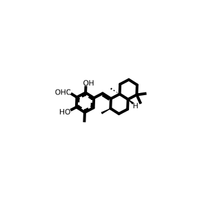 Cc1cc(/C=C2\[C@H](C)CC[C@H]3C(C)(C)CCC[C@]23C)c(O)c(C=O)c1O